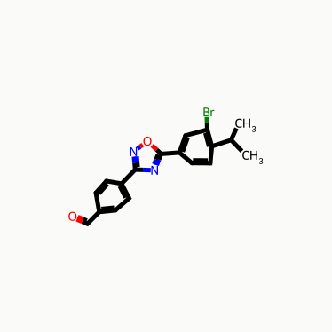 CC(C)c1ccc(-c2nc(-c3ccc(C=O)cc3)no2)cc1Br